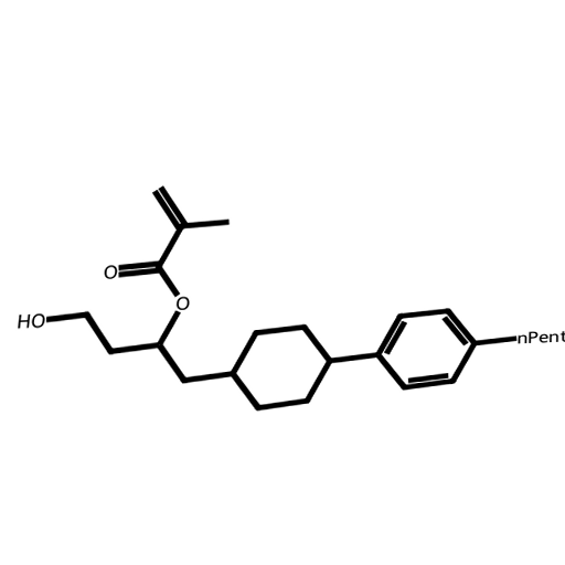 C=C(C)C(=O)OC(CCO)CC1CCC(c2ccc(CCCCC)cc2)CC1